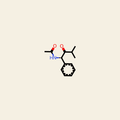 CC(=O)N[C@@H](C(=O)C(C)C)c1ccccc1